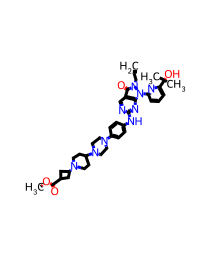 C=CCn1c(=O)c2cnc(Nc3ccc(N4CCN(C5CCN(C6CC(C(=O)OC)C6)CC5)CC4)cc3)nc2n1-c1cccc(C(C)(C)O)n1